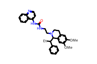 CCC(c1ccccc1)C1c2cc(OC)c(OC)cc2CCN1CCNC(=O)Nc1ccnc2ccccc12